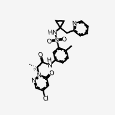 Cc1ccc(NC(=O)[C@@H](C)n2ncc(Cl)cc2=O)cc1S(=O)(=O)NC1(Cc2ccccn2)CC1